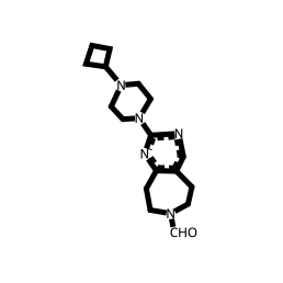 O=CN1CCc2cnc(N3CCN(C4CCC4)CC3)nc2CC1